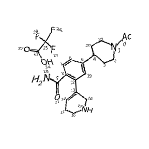 CC(=O)N1CCC(c2ccc(C(N)=O)c(C3=CCCNC3)c2)CC1.O=C(O)C(F)(F)F